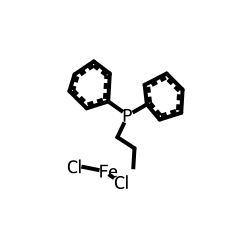 CCCP(c1ccccc1)c1ccccc1.[Cl][Fe][Cl]